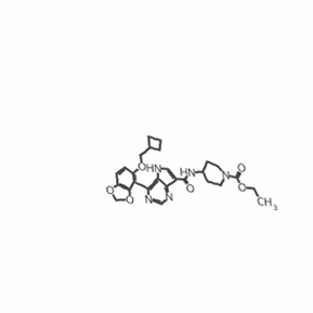 CCOC(=O)N1CCC(NC(=O)c2c[nH]c3c(-c4c(OCC5CCC5)ccc5c4OCO5)ncnc23)CC1